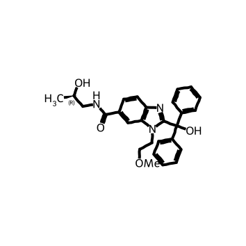 COCCn1c(C(O)(c2ccccc2)c2ccccc2)nc2ccc(C(=O)NC[C@@H](C)O)cc21